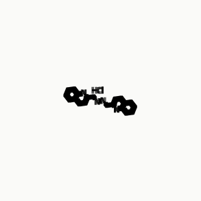 Cl.c1ccc2nc(CN=NCc3ccc4ccccc4n3)ccc2c1